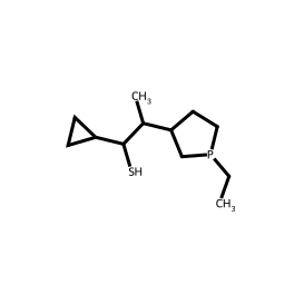 CCP1CCC(C(C)C(S)C2CC2)C1